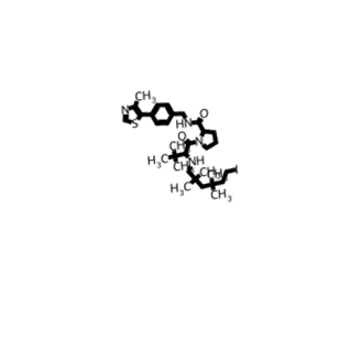 Cc1ncsc1-c1ccc(CNC(=O)C2CCCN2C(=O)C(NCC(C)(C)CC(C)(C)CCI)C(C)(C)C)cc1